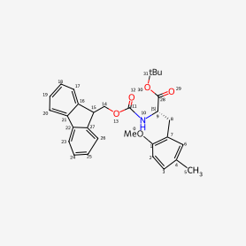 COc1ccc(C)cc1C[C@H](NC(=O)OCC1c2ccccc2-c2ccccc21)C(=O)OC(C)(C)C